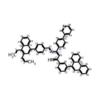 C=Cc1c(/C=C\C)cc(-c2ccc(/C=N/C(=C\C(=N)c3cccc(-c4cc5ccccc5c5ccccc45)c3)c3ccc(-c4cccnc4)cc3)cc2)c2ccccc12